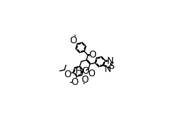 COc1ccc(C(=O)/C(Cc2cc(OC)c(OC)c(OC(C)C)c2)=C(/C(=O)O)c2ccc3nsnc3c2)cc1